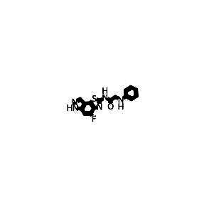 O=C(CNc1ccccc1)Nc1nc2c(F)cc3[nH]ncc3c2s1